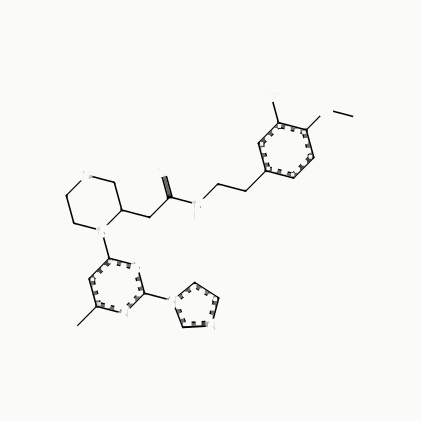 COc1ccc(CCNC(=O)CC2CNCCN2c2cc(C)nc(-n3ccnc3)n2)cc1Br